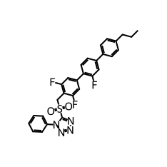 CCCc1ccc(-c2ccc(-c3cc(F)c(CS(=O)(=O)c4nnnn4-c4ccccc4)c(F)c3)c(F)c2)cc1